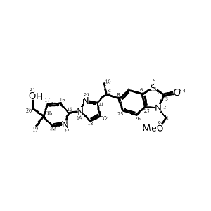 COCn1c(=O)sc2cc(C(C)c3ccn(C4C=CC(C)(CO)C=N4)n3)ccc21